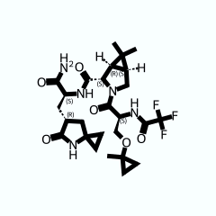 CC1(OC[C@H](NC(=O)C(F)(F)F)C(=O)N2C[C@H]3[C@@H]([C@H]2C(=O)N[C@@H](C[C@@H]2CC4(CC4)NC2=O)C(N)=O)C3(C)C)CC1